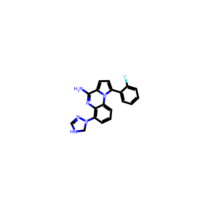 Nc1nc2c(N3CNC=N3)cccc2n2c(-c3ccccc3F)ccc12